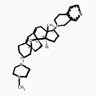 CN1CCN([C@@H]2CCC3=CC4=CCC5(C)[C@@H](N6CCc7ccncc7C6)CC[C@H]5[C@@]45CC[C@]3(C2)O5)CC1